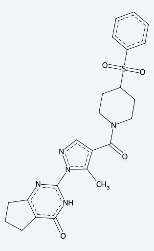 Cc1c(C(=O)N2CCC(S(=O)(=O)c3ccccc3)CC2)cnn1-c1nc2c(c(=O)[nH]1)CCC2